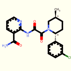 C[C@H]1CC[C@H](c2cccc(Cl)c2)N(C(=O)C(=O)Nc2ncccc2C(N)=O)C1